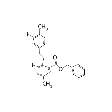 Cc1cc(I)c(CCc2ccc(C)c(I)c2)c(C(=O)OCc2ccccc2)c1